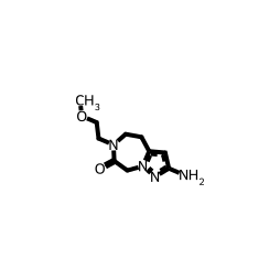 COCCN1CCc2cc(N)nn2CC1=O